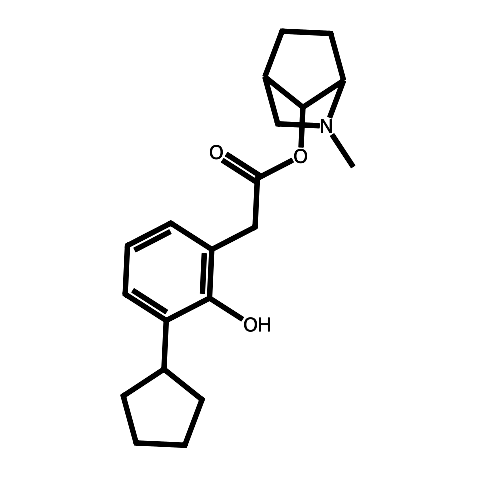 CN1CC2CCC1C2OC(=O)Cc1cccc(C2CCCC2)c1O